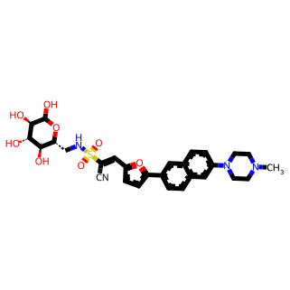 CN1CCN(c2ccc3cc(-c4ccc(/C=C(\C#N)S(=O)(=O)NC[C@H]5OC(O)[C@H](O)[C@@H](O)[C@@H]5O)o4)ccc3c2)CC1